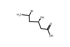 CC(Br)C[C@@H](O)CC(=O)O